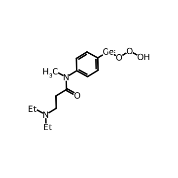 CCN(CC)CCC(=O)N(C)c1cc[c]([Ge][O]OO)cc1